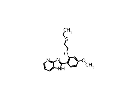 CCSCCOc1cc(OC)ccc1-c1nc2ncccc2[nH]1